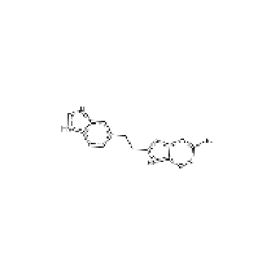 CCc1ccc2[nH]c(CCc3ccc4[nH]cnc4c3)cc2c1